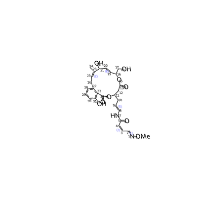 CO/N=C/C=C\C(=O)N/C=C/CC1CC(=O)OC(CO)/C=C/C(O)/C(C)=C\Cc2cccc(O)c2C(=O)O1